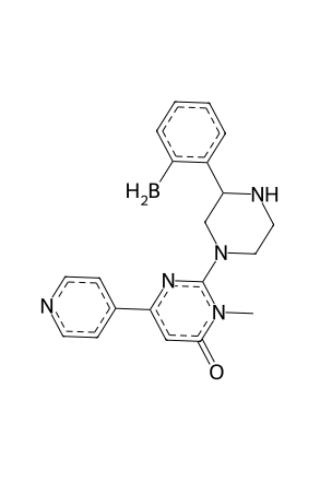 Bc1ccccc1C1CN(c2nc(-c3ccncc3)cc(=O)n2C)CCN1